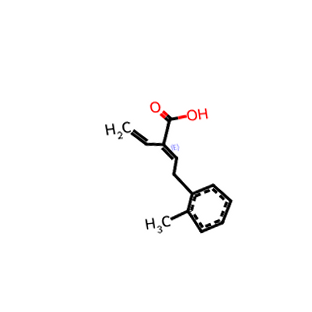 C=C/C(=C\Cc1ccccc1C)C(=O)O